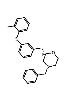 Cc1ccccc1Sc1cccc(C[C@H]2CN(Cc3ccccc3)CCO2)c1